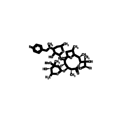 CC[C@@H](O)[C@@](C)(O)[C@@H]1OC(=O)[C@H](C)[C@@H](O[C@H]2CC(C)(OC)[C@@H](O)C(C)O2)[C@H](C)[C@@H](O[C@@H]2OC(C)CC(N(C)Cc3ccc(F)cc3)C2O)[C@@]2(C)CC(C)C(O2)[C@@H]1C